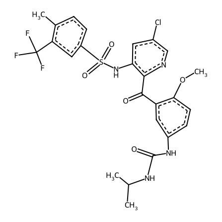 COc1ccc(NC(=O)NC(C)C)cc1C(=O)c1ncc(Cl)cc1NS(=O)(=O)c1ccc(C)c(C(F)(F)F)c1